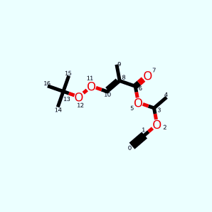 C#COC(C)OC(=O)C(C)=COOC(C)(C)C